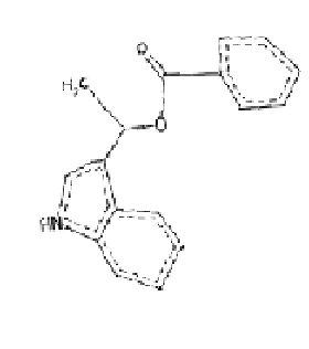 CC(OC(=O)c1ccccc1)c1c[nH]c2ccccc12